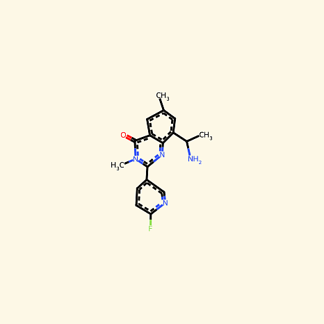 Cc1cc(C(C)N)c2nc(-c3ccc(F)nc3)n(C)c(=O)c2c1